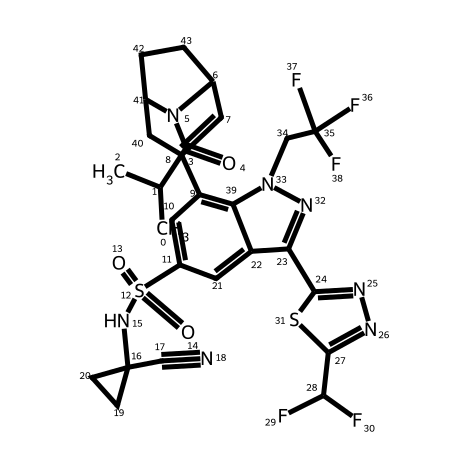 CC(C)C(=O)N1C2C=C(c3cc(S(=O)(=O)NC4(C#N)CC4)cc4c(-c5nnc(C(F)F)s5)nn(CC(F)(F)F)c34)CC1CC2